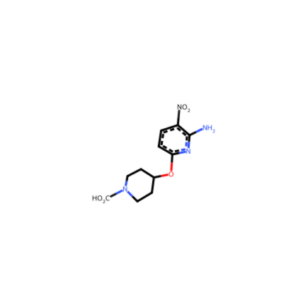 Nc1nc(OC2CCN(C(=O)O)CC2)ccc1[N+](=O)[O-]